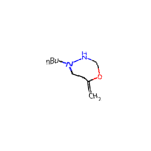 C=C1CN(CCCC)NCO1